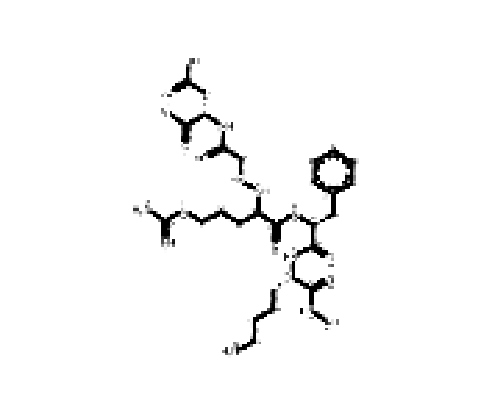 [2H]C(=O)[C@H](CC(=O)O)NC(=O)CNNC(CCCNC(=N)N)C(=O)N[C@@H](Cc1ccccc1)C(=O)N[C@@H](CCCCN)C(=O)NN